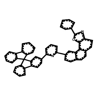 c1ccc(-c2nc3ccc4ccc5ccc(-c6cccc(-c7ccc8c(c7)C7(c9ccccc9-c9ccccc97)c7ccccc7-8)n6)cc5c4c3o2)cc1